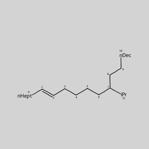 [CH2]CCCCCCC=CCCCCC(CCCCCCCCCCC[CH2])C(C)C